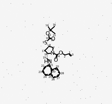 C=CCOC(=O)N1C[C@@H](SC(=O)OC(C)(C)C)C[C@H]1CNc1cccc2ccccc12